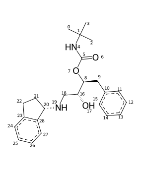 CC(C)(C)NC(=O)O[C@@H](Cc1ccccc1)[C@H](O)CN[C@H]1CCc2ccccc21